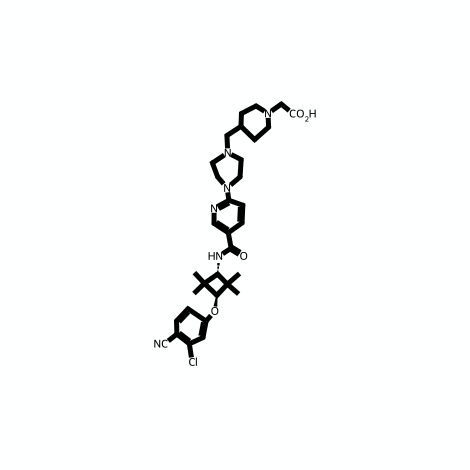 CC1(C)[C@H](NC(=O)c2ccc(N3CCN(CC4CCN(CC(=O)O)CC4)CC3)nc2)C(C)(C)[C@H]1Oc1ccc(C#N)c(Cl)c1